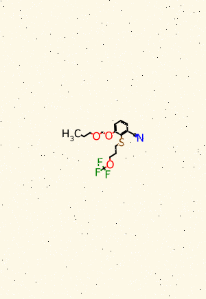 CCCOCOc1cccc(C#N)c1SCCCOC(F)(F)F